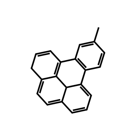 Cc1ccc2c(c1)C1=C3C(=CC=C4C=CC=C2C43)CC=C1